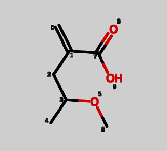 C=C(CC(C)OC)C(=O)O